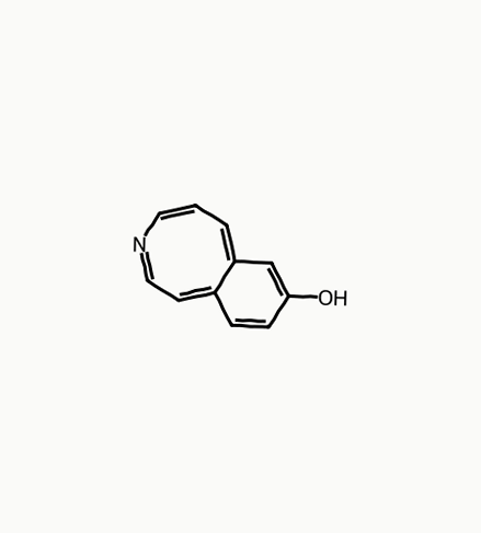 Oc1ccc2c(c1)=CC=CN=CC=2